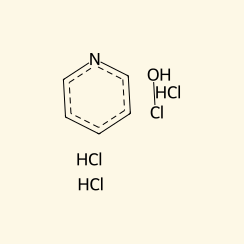 Cl.Cl.Cl.OCl.c1ccncc1